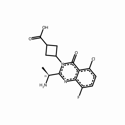 C[C@H](N)c1nc2c(F)ccc(Cl)c2c(=O)n1C1CC(C(=O)O)C1